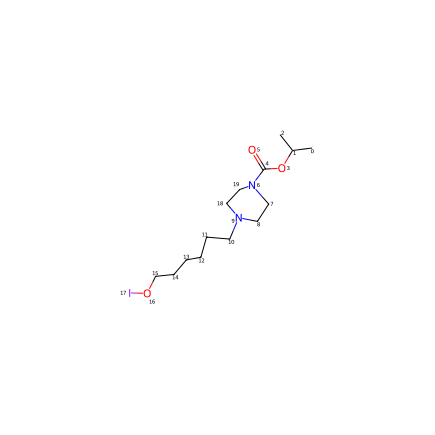 CC(C)OC(=O)N1CCN(CCCCCCOI)CC1